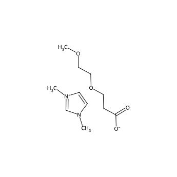 COCCOCCC(=O)[O-].Cn1cc[n+](C)c1